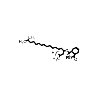 CC(C)CCCCCCCCCCCCC(CC(C)C)OC(=O)C1CC=CCC1C(=O)O